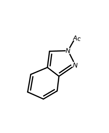 CC(=O)n1cc2ccccc2n1